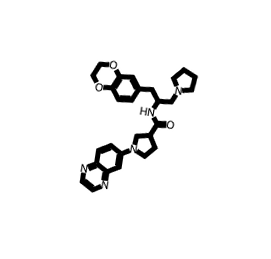 O=C(NC(Cc1ccc2c(c1)OCCO2)CN1CCCC1)C1CCN(c2ccc3nccnc3c2)C1